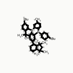 Cc1ccc2c(c1)B1c3cc(C(C)(C)C)ccc3C(C)(C)c3cc(-c4cccc5c4C(C)(C)CC5(C)C)cc(c31)N2c1ccc(C(C)(C)C)cc1